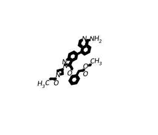 CCOC(=O)Cc1ccccc1OCc1c2cc(-c3cccc4c(N)nccc34)ccc2nn1C1CN(C(=O)CC)C1